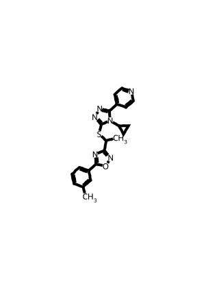 Cc1cccc(-c2nc(C(C)Sc3nnc(-c4ccncc4)n3C3CC3)no2)c1